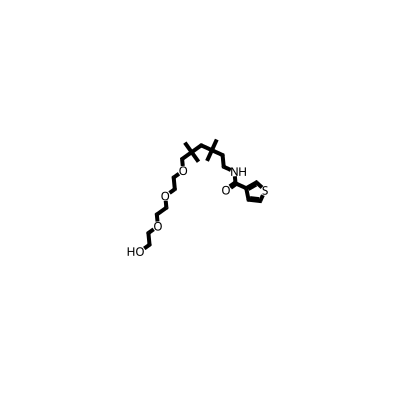 CC(C)(CCNC(=O)c1ccsc1)CC(C)(C)COCCOCCOCCO